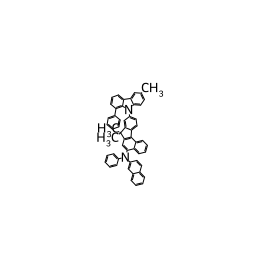 Cc1ccc2c(c1)c1cccc(-c3ccccc3)c1n2-c1ccc2c(c1)C(C)(C)c1cc(N(c3ccccc3)c3ccc4ccccc4c3)c3ccccc3c1-2